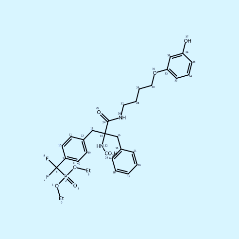 CCOP(=O)(OCC)C(F)(F)c1ccc(CC(Cc2ccccc2)(NC(=O)O)C(=O)NCCCCOc2cccc(O)c2)cc1